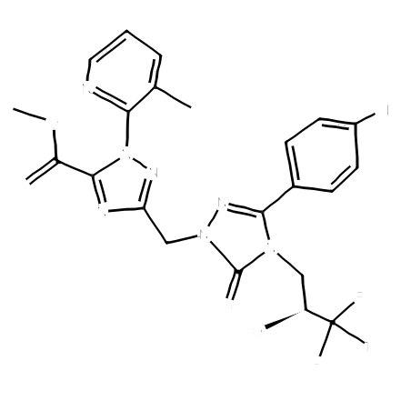 COC(=O)c1nc(Cn2nc(-c3ccc(Cl)cc3)n(C[C@H](O)C(F)(F)F)c2=O)nn1-c1ncccc1C